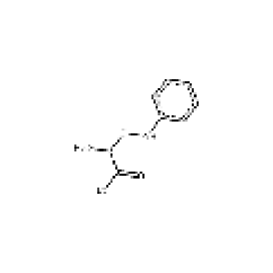 CCC(=O)C(C)ONc1ccccc1